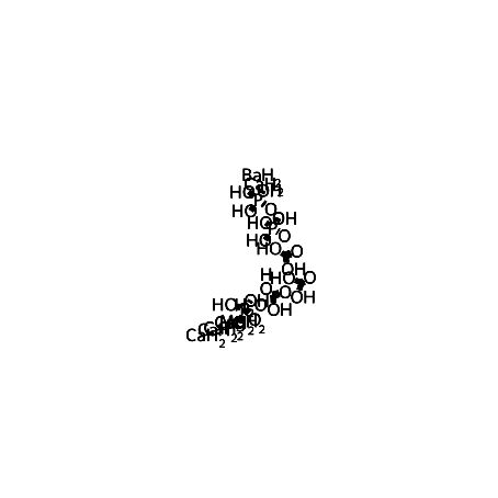 O.O=C(O)O.O=C(O)O.O=C(O)O.O=P(O)(O)O.O=P(O)(O)O.O=P(O)(O)O.[BaH2].[CaH2].[CaH2].[CaH2].[CaH2].[CaH2].[MgH2]